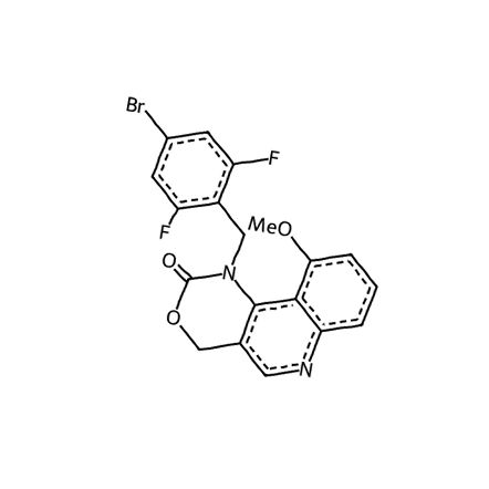 COc1cccc2ncc3c(c12)N(Cc1c(F)cc(Br)cc1F)C(=O)OC3